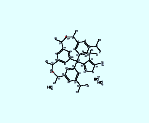 CC(C)c1cc(C(C)C)cc([Si](C2=CC[C]([Ti])=C2C(C)(C)C)(c2cc(C(C)C)cc(C(C)C)c2)c2cc(C(C)C)cc(C(C)C)c2)c1.Cl.Cl.Cl